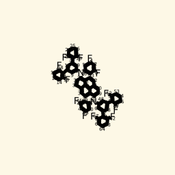 Fc1cc(F)cc(N(c2cc(-c3c(F)cccc3F)cc(-c3c(F)cccc3F)c2)c2ccc3ccc4c(N(c5cc(F)cc(F)c5)c5cc(-c6c(F)cccc6F)cc(-c6c(F)cccc6F)c5)ccc5ccc2c3c54)c1